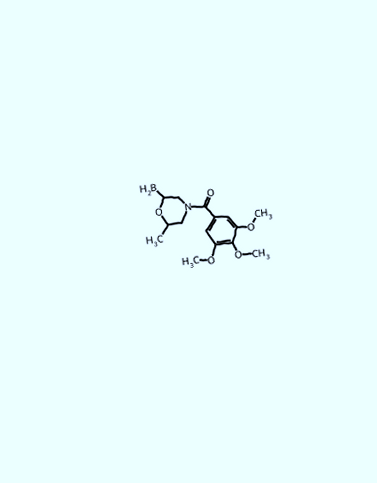 BC1CN(C(=O)c2cc(OC)c(OC)c(OC)c2)CC(C)O1